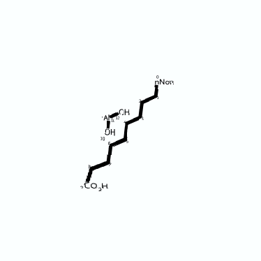 CCCCCCCCCCCCCCCCCC(=O)O.[OH][Al][OH]